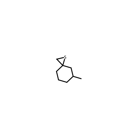 CC1CCCC2(CS2)C1